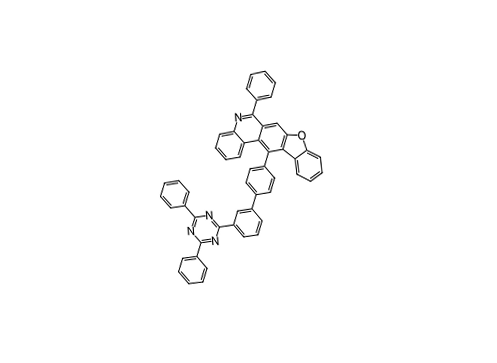 c1ccc(-c2nc(-c3ccccc3)nc(-c3cccc(-c4ccc(-c5c6c(cc7c(-c8ccccc8)nc8ccccc8c57)oc5ccccc56)cc4)c3)n2)cc1